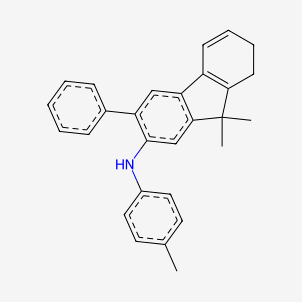 Cc1ccc(Nc2cc3c(cc2-c2ccccc2)C2=C(CCC=C2)C3(C)C)cc1